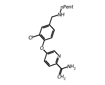 C=C(N)c1ccc(Oc2ccc(CNCCCCC)cc2Cl)cn1